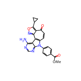 COC(=O)c1ccc(-n2c3ccc(=O)c4c(C5CC5)onc4c3c3c(N)ncnc32)cc1